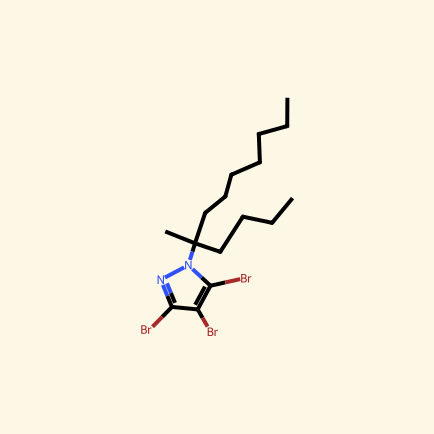 CCCCCCCC(C)(CCCC)n1nc(Br)c(Br)c1Br